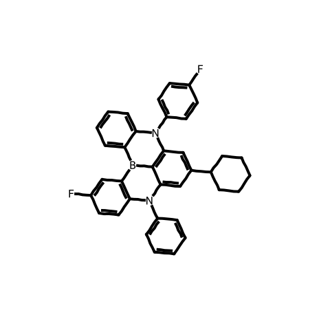 Fc1ccc(N2c3ccccc3B3c4cc(F)ccc4N(c4ccccc4)c4cc(C5CCCCC5)cc2c43)cc1